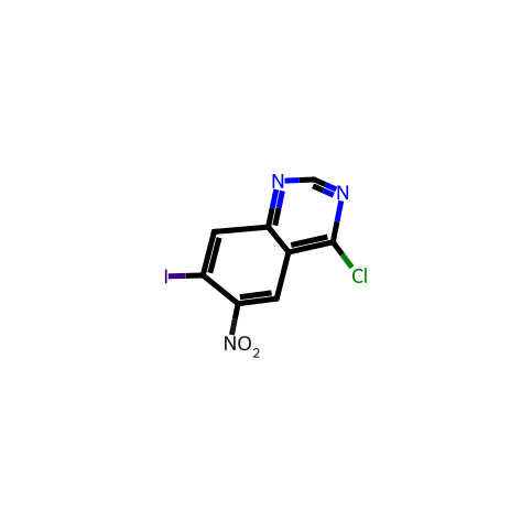 O=[N+]([O-])c1cc2c(Cl)ncnc2cc1I